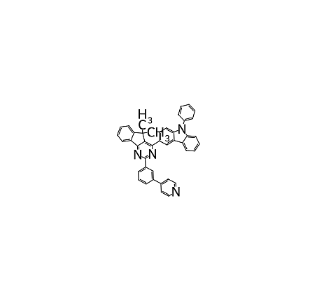 CC1(C)c2ccccc2-c2nc(-c3cccc(-c4ccncc4)c3)nc(-c3ccc4c(c3)c3ccccc3n4-c3ccccc3)c21